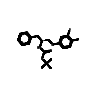 Cc1ccc(OC[C@@H](Cc2ccccc2)NC(=O)OC(C)(C)C)cc1F